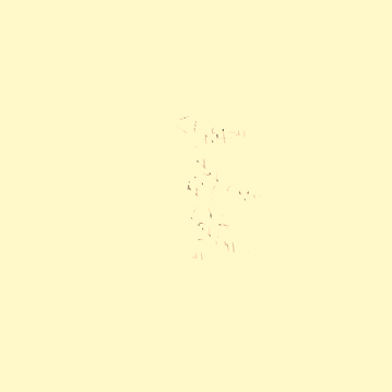 COC(=O)c1nc(N2CCC3(CC2)Cc2ccccc2[C@H]3N[S@+]([O-])C(C)(C)C)n2ccnc2c1Sc1ccnc(N(C(=O)OC(C)(C)C)C(=O)OC(C)(C)C)c1Cl